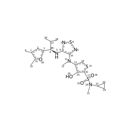 Cc1cc([C@H](Nc2nsnc2N(C)c2csc(S(=O)(=O)N(C)C3CC3)c2O)C(C)C)oc1C